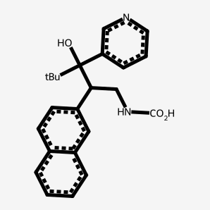 CC(C)(C)C(O)(c1cccnc1)C(CNC(=O)O)c1ccc2ccccc2c1